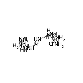 N=C(NCCCCCNC1CCN(CCCCNC(=N)NC(=O)c2nc(Cl)c(N)nc2N)CC1)NC(=O)c1nc(Cl)c(N)nc1N